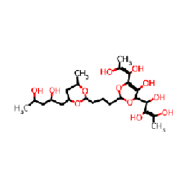 C/C(O)=C(\O)C1=C(O)C(C(O)/C(O)=C(/C)O)OC(CCCC2OC(C)CC(CC(O)CC(C)O)O2)O1